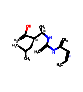 C=C(/C=C\C)NC(=C)N[C@H](C)[C@@H](CC(C)C)C(=C)O